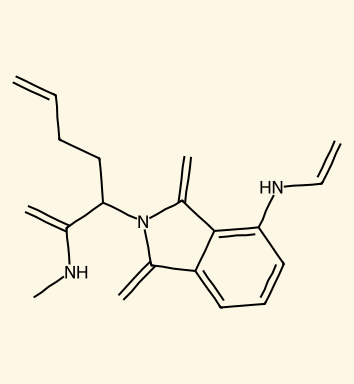 C=CCCC(C(=C)NC)n1c(=C)c2cccc(NC=C)c2c1=C